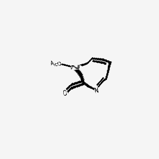 CC(=O)On1cccnc1=O